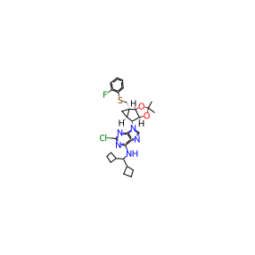 CC1(C)O[C@H]2[C@H](n3cnc4c(NC(C5CCC5)C5CCC5)nc(Cl)nc43)[C@H]3C[C@@]3(CSc3ccccc3F)[C@H]2O1